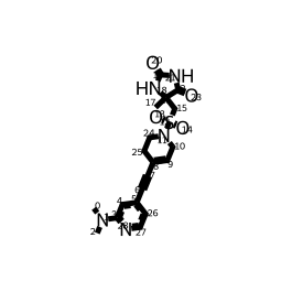 CN(C)c1cc(C#CC2=CCN(S(=O)(=O)CC3(C)NC(=O)NC3=O)CC2)ccn1